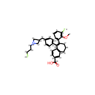 COc1c(F)cccc1C1=C(c2ccc(CC3CN(CCCF)C3)cc2)c2ccc(C(=O)O)cc2CCC1